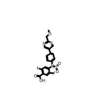 COCc1ncc(-c2ccc(N(c3cc(F)c(C(=O)O)cc3F)[SH](=O)=O)cc2)cn1